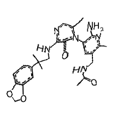 CC(=O)NCc1cc(-n2c(C)cnc(NCC(C)(C)c3ccc4c(c3)OCO4)c2=O)c(N)nc1C